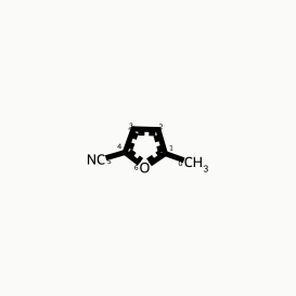 Cc1c[c]c(C#N)o1